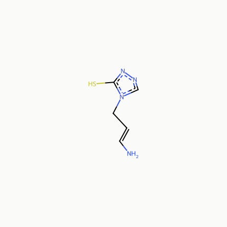 NC=CCn1cnnc1S